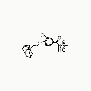 CS(=O)(=O)NC(=O)c1ccc(OCCC23CC4CC(CC(C4)C2)C3)c(Cl)c1